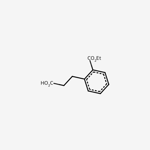 CCOC(=O)c1ccccc1CCC(=O)O